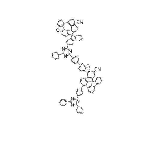 N#Cc1ccc(-c2cccc3oc4ccc5c(c4c23)-c2ccccc2C5(c2ccccc2)c2ccc(-c3nc(-c4ccccc4)nc(-c4ccc(-c5ccc6c(c5)oc5c(C#N)cc7c(c56)-c5ccc(-c6ccc(-c8nc(-c9ccccc9)nc(-c9ccccc9)n8)cc6)cc5C75c6ccccc6-c6ccccc65)cc4)n3)cc2)cc1